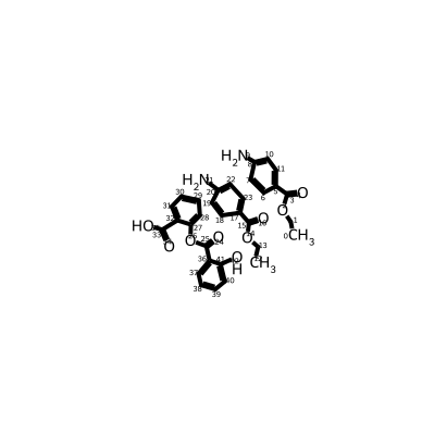 CCOC(=O)c1ccc(N)cc1.CCOC(=O)c1ccc(N)cc1.O=C(Oc1ccccc1C(=O)O)c1ccccc1O